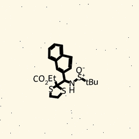 CCOC(=O)C1(C(N[S+]([O-])C(C)(C)C)c2ccc3ccccc3c2)SCCS1